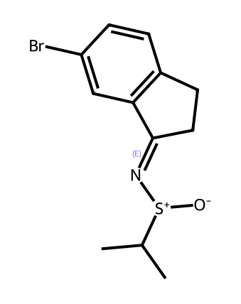 CC(C)[S+]([O-])/N=C1\CCc2ccc(Br)cc21